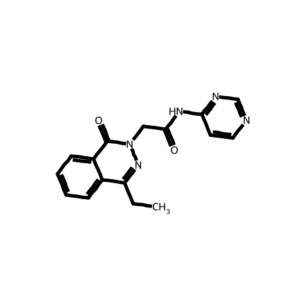 CCc1nn(CC(=O)Nc2ccncn2)c(=O)c2ccccc12